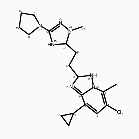 CC1=C(Cl)C=C(C2CC2)C2=NC(CCC3NC(N4CCCC4)=NN3C)NN21